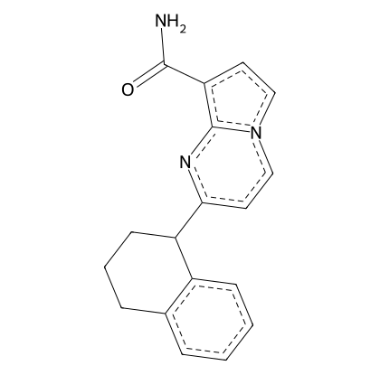 NC(=O)c1ccn2ccc(C3CCCc4ccccc43)nc12